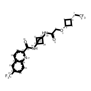 O=C(CO[C@H]1C[C@@H](CC(F)(F)F)C1)NC12CC(NC(=O)c3ccc4cc(C(F)(F)F)ccc4n3)(C1)C2